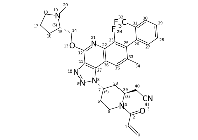 C=CC(=O)N1CC[C@H](n2nnc3c(OC[C@@H]4CCCN4C)nc4c(F)c(-c5ccccc5C(F)(F)F)c(C)cc4c32)C[C@H]1CC#N